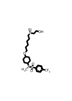 CCN(CCO)CCCCCCOC1CCC(N(C)S(=O)(=O)c2ccc(C(F)(F)F)cc2)CC1